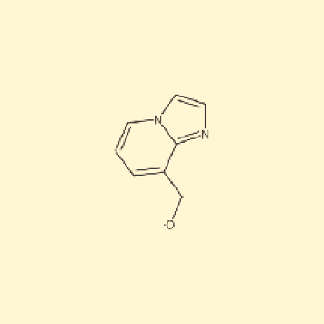 [O]Cc1cccn2ccnc12